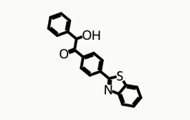 O=C(c1ccc(-c2nc3ccccc3s2)cc1)C(O)c1ccccc1